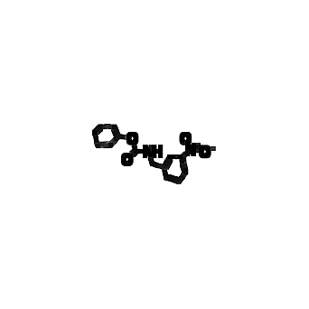 O=C(NCc1cccc([N+](=O)[O-])c1)Oc1ccccc1